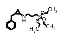 CCO[Si](CCCNC1CC1Cc1ccccc1)(OCC)OCC